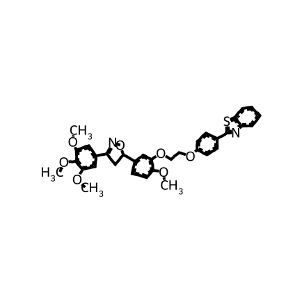 COc1ccc(C2CC(c3cc(OC)c(OC)c(OC)c3)=NO2)cc1OCCOc1ccc(-c2nc3ccccc3s2)cc1